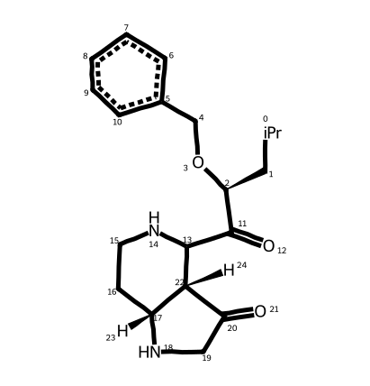 CC(C)C[C@H](OCc1ccccc1)C(=O)C1NCC[C@H]2NCC(=O)[C@@H]12